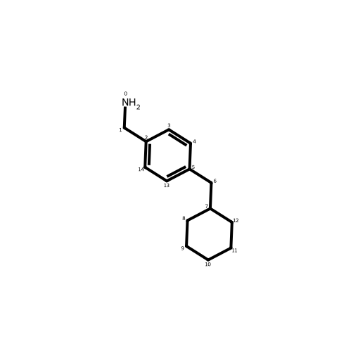 NCc1ccc(CC2CCCCC2)cc1